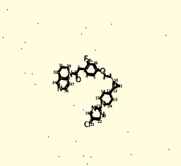 O=C(Cc1ccc(OCC[C@@H]2CC2C2CCN(c3ncc(Cl)cn3)CC2)cc1F)N1CCCc2cnccc21